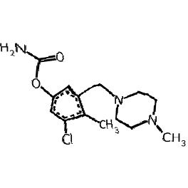 Cc1c(Cl)cc(OC(N)=O)cc1CN1CCN(C)CC1